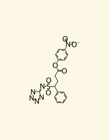 O=C(CCC(c1ccccc1)S(=O)(=O)N=C1N=NN=N1)Oc1ccc([N+](=O)[O-])cc1